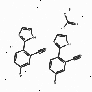 N#Cc1cc(Br)ccc1-c1ncc[nH]1.N#Cc1cc(Br)ccc1-c1ncc[nH]1.O=C([O-])[O-].[K+].[K+]